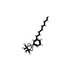 CCCCCCCCCc1cccc(B2OC(C)(C)C(C)(C)O2)c1